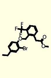 CCc1ccc(OCc2c(CC(=O)OC)cccc2C(F)(F)F)c(Br)c1